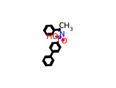 CC(=NP(=O)(O)c1ccc(-c2ccccc2)cc1)c1ccccc1